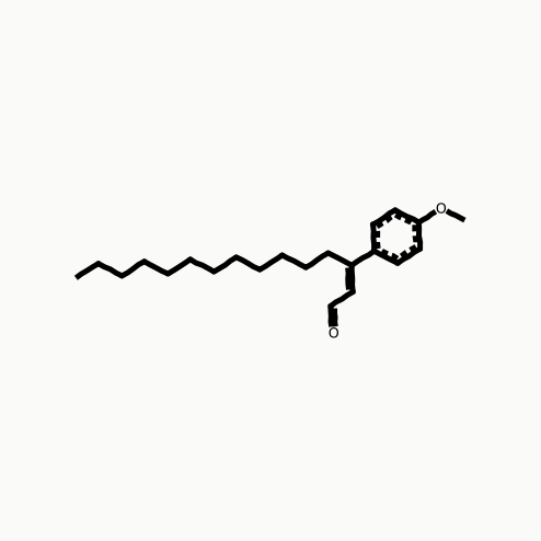 CCCCCCCCCCCCC(=CC=O)c1ccc(OC)cc1